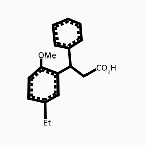 CCc1ccc(OC)c(C(CC(=O)O)c2ccccc2)c1